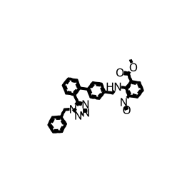 COC(=O)c1cccc(N=O)c1NCc1ccc(-c2ccccc2-c2nnnn2Cc2ccccc2)cc1